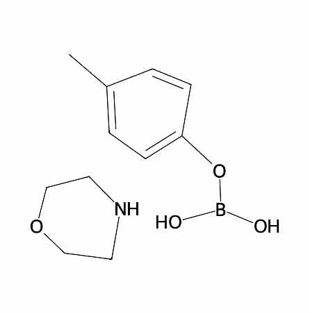 C1COCCN1.Cc1ccc(OB(O)O)cc1